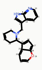 C1=CCN(Cc2c[nH]c3ncccc23)C(c2ccc3occcc2-3)C1